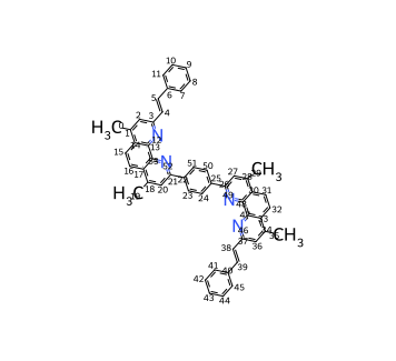 Cc1cc(/C=C/c2ccccc2)nc2c1ccc1c(C)cc(-c3ccc(-c4cc(C)c5ccc6c(C)cc(/C=C/c7ccccc7)nc6c5n4)cc3)nc12